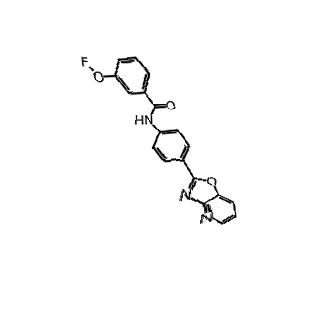 O=C(Nc1ccc(-c2nc3ncccc3o2)cc1)c1cccc(OF)c1